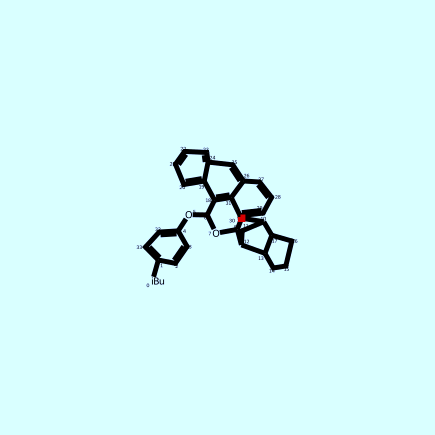 CCC(C)c1ccc(OC(OC2CC3CC2C2CCCC32)c2c3ccccc3cc3ccccc23)cc1